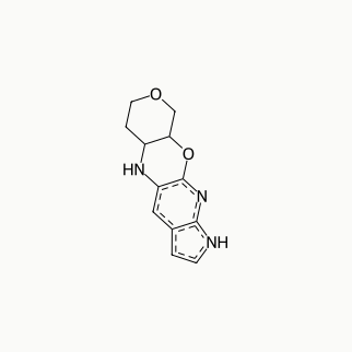 c1cc2cc3c(nc2[nH]1)OC1COCCC1N3